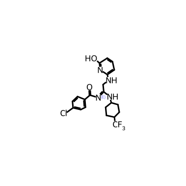 O=C(/N=C(\CNc1cccc(O)n1)NC1CCC(C(F)(F)F)CC1)c1ccc(Cl)cc1